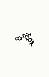 Cc1cc2c(cc1C(F)(F)F)N=C1N(c3ccc4c(c3)CC=C4)CC[C@@]1(O)C2=O